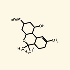 CCCCCC1CC(O)C2C(C1)OC(C)(C)[C@@H]1CCC(C)=CC21